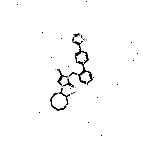 CCCCc1cn(C2CCCCCCC2CCC)c(=O)n1Cc1cnccc1-c1ccc(-c2nnn[nH]2)cc1